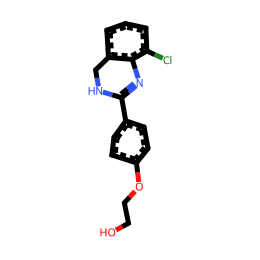 OCCOc1ccc(C2=Nc3c(Cl)cccc3CN2)cc1